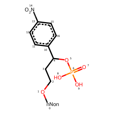 CCCCCCCCCOCCC(OP(=O)(O)O)c1ccc([N+](=O)[O-])cc1